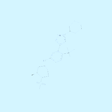 C[C@H]1C[C@H](Nc2ncc(C(F)(F)F)c(-c3cnn(C4CCOCC4)c3)n2)CCN1S(C)(=O)=O